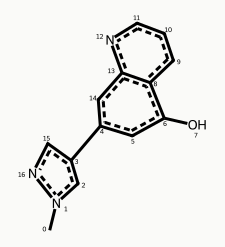 Cn1cc(-c2cc(O)c3cccnc3c2)cn1